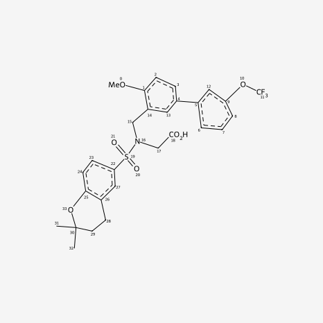 COc1ccc(-c2cccc(OC(F)(F)F)c2)cc1CN(CC(=O)O)S(=O)(=O)c1ccc2c(c1)CCC(C)(C)O2